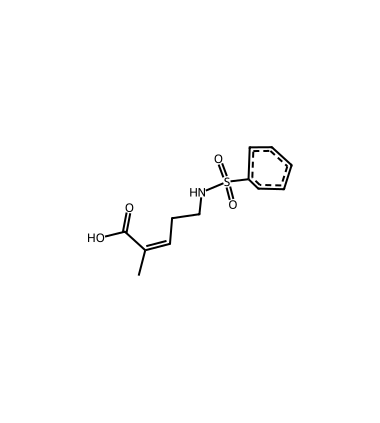 CC(=CCCNS(=O)(=O)c1ccccc1)C(=O)O